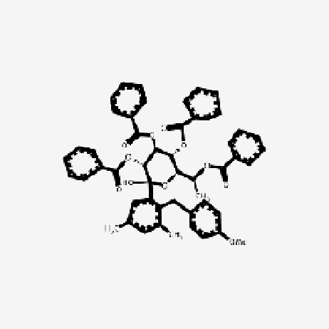 COc1ccc(Cc2c(C)cc(C)cc2[C@@]2(O)O[C@H]([C@H](C)OC(=O)c3ccccc3)[C@@H](OC(=O)c3ccccc3)[C@H](OC(=O)c3ccccc3)[C@H]2OC(=O)c2ccccc2)cc1